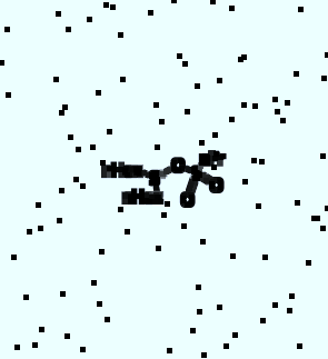 CCCCCC[S+](CCCCCC)OS(=O)(=O)CCC